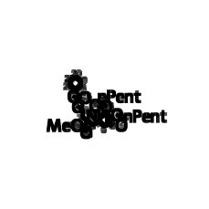 CCCCCC(=O)Oc1ccc(C[C@](N)(CCOC(=O)Oc2ccccc2)C(=O)OC)cc1OC(=O)CCCCC